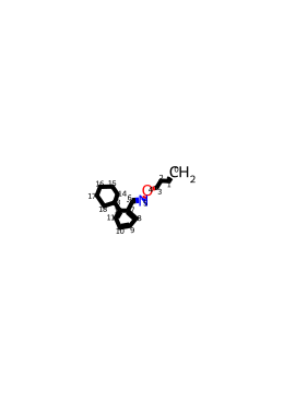 C=CCCON=[C]c1ccccc1C1CCCCC1